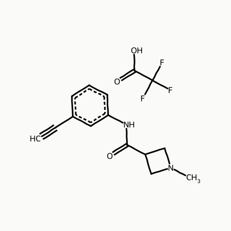 C#Cc1cccc(NC(=O)C2CN(C)C2)c1.O=C(O)C(F)(F)F